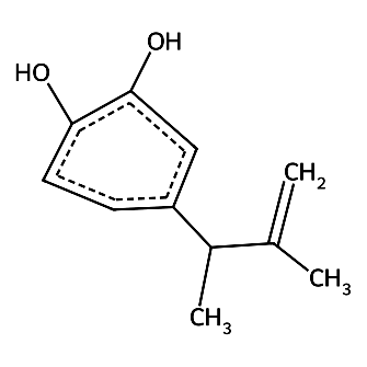 C=C(C)C(C)c1ccc(O)c(O)c1